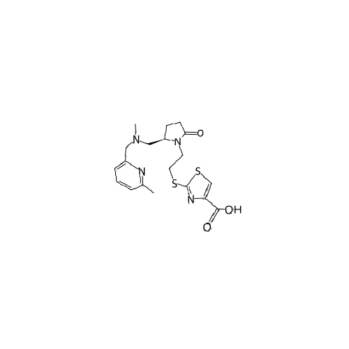 Cc1cccc(CN(C)C[C@H]2CCC(=O)N2CCSc2nc(C(=O)O)cs2)n1